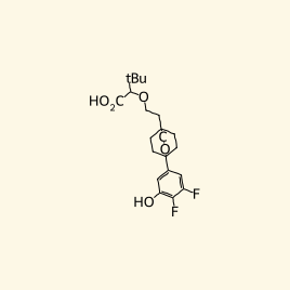 CC(C)(C)C(OCCC12CCC(c3cc(O)c(F)c(F)c3)(CC1)OC2)C(=O)O